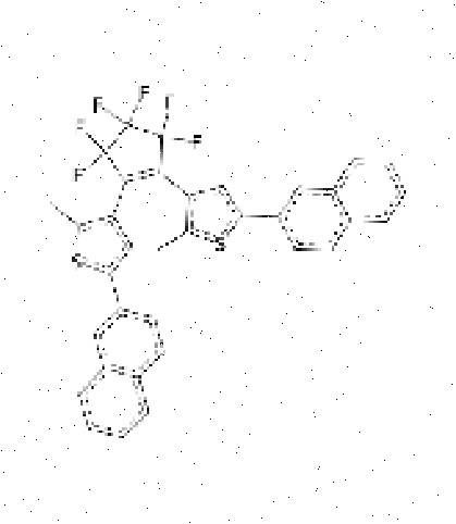 Cc1sc(-c2ccc3ccccc3c2)cc1C1=C(c2cc(-c3ccc4ccccc4c3)sc2C)C(F)(F)C(F)(F)C1(F)F